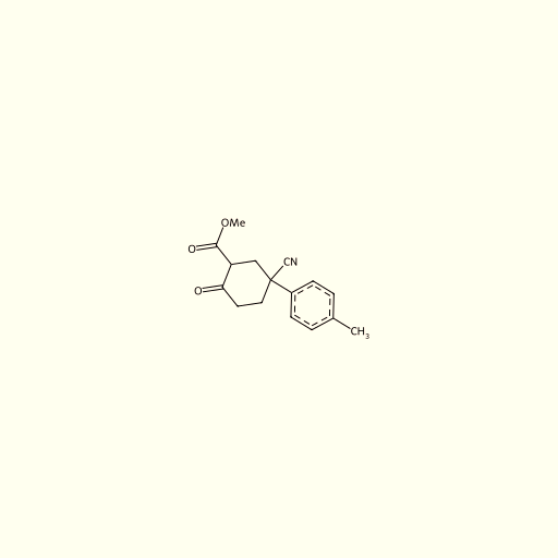 COC(=O)C1CC(C#N)(c2ccc(C)cc2)CCC1=O